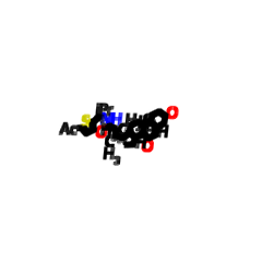 CC(=O)c1ccc([C@H](NC(=O)C[C@@H](C)[C@H]2CC[C@H]3[C@@H]4C(=O)C[C@@H]5CC(=O)CC[C@]5(C)[C@H]4CC[C@]23C)C(C)C)s1